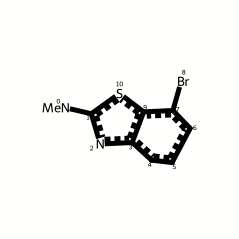 CNc1nc2cccc(Br)c2s1